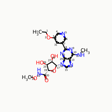 CCOc1cncc(-c2nc(NC)c3ncn([C@@H]4O[C@H](C(=O)NOC)[C@@H](O)[C@H]4O)c3n2)c1